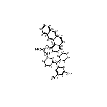 CC(C)c1cc(C(C)C)cc(P(C2CCCCC2)C2CCCCC2)c1.OB(O)Oc1cccc2ccc3cc4ccccc4cc3c12